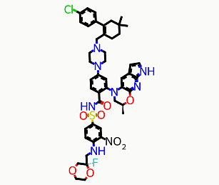 C[C@H]1CN(c2cc(N3CCN(CC4=C(c5ccc(Cl)cc5)CC(C)(C)CC4)CC3)ccc2C(=O)NS(=O)(=O)c2ccc(NC[C@]3(F)COCCO3)c([N+](=O)[O-])c2)c2cc3cc[nH]c3nc2O1